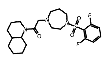 O=C(CN1CCCN(S(=O)(=O)c2c(F)cccc2F)CC1)N1CCCC2CCCCC21